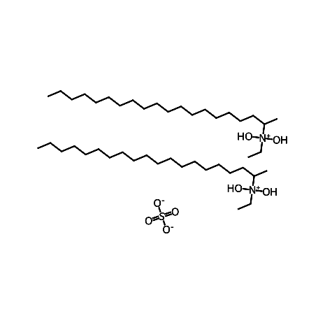 CCCCCCCCCCCCCCCCCCC(C)[N+](O)(O)CC.CCCCCCCCCCCCCCCCCCC(C)[N+](O)(O)CC.O=S(=O)([O-])[O-]